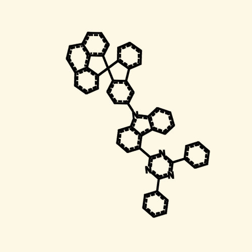 c1ccc(-c2nc(-c3ccccc3)nc(-c3cccc4c3c3ccccc3n4-c3ccc4c(c3)-c3ccccc3C43c4cccc5ccc6cccc3c6c45)n2)cc1